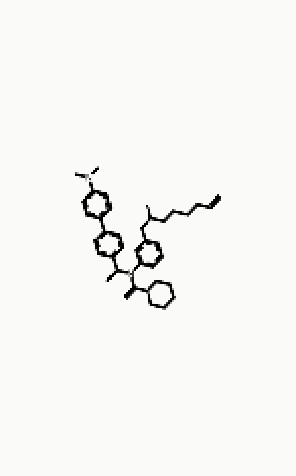 C=CCCCCC(C)Cc1cccc(N(C(=C)C2CCCCC2)C(C)c2ccc(-c3ccc(N(C)C)cc3)cc2)c1